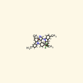 Cc1ccc2c(c1)c1cc(C)ccc1n2-c1ccc(C(F)(F)F)cc1-c1ccncc1-n1c2ccc(C)cc2c2cc(C)ccc21